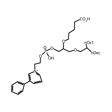 CCCCCCCCCCC(CCCCCCCC)COCC(COP(=O)(O)OCC[n+]1cccc(-c2ccccc2)c1)OCCCCC(=O)O